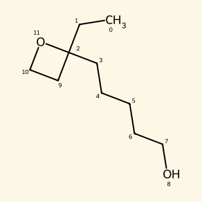 CCC1(CCCCCO)CCO1